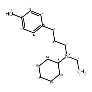 CCN(CCCc1ccc(O)cc1)C1CCCCC1